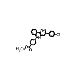 CCOC(=O)C1CCN(c2nc3cc(-c4ccc(Cl)cc4)nnc3c3ccccc23)CC1